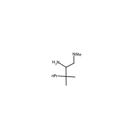 CCCC(C)(C)C(N)CNC